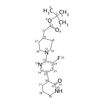 CC(C)(C)OC(=O)CC1CCN(c2ncc(C3CCCNC3=O)cc2F)CC1